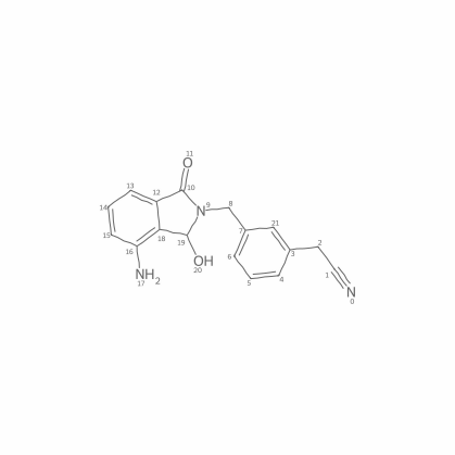 N#CCc1cccc(CN2C(=O)c3cccc(N)c3C2O)c1